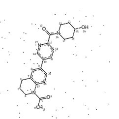 CC(=O)N1CCCc2cc(-c3ccc(C(=O)N4CCC(O)CC4)nc3)ccc21